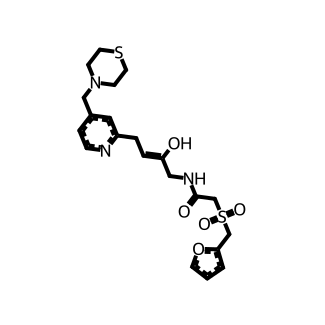 O=C(CS(=O)(=O)Cc1ccco1)NCC(O)=CCc1cc(CN2CCSCC2)ccn1